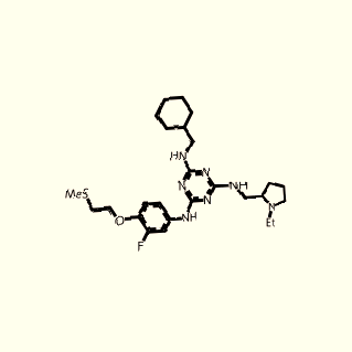 CCN1CCCC1CNc1nc(NCC2CCCCC2)nc(Nc2ccc(OCCSC)c(F)c2)n1